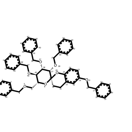 c1ccc(COC[C@H]2O[C@@]3(CCc4cc(OCc5ccccc5)ccc4O3)[C@@H](OCc3ccccc3)[C@@H](OCc3ccccc3)[C@@H]2OCc2ccccc2)cc1